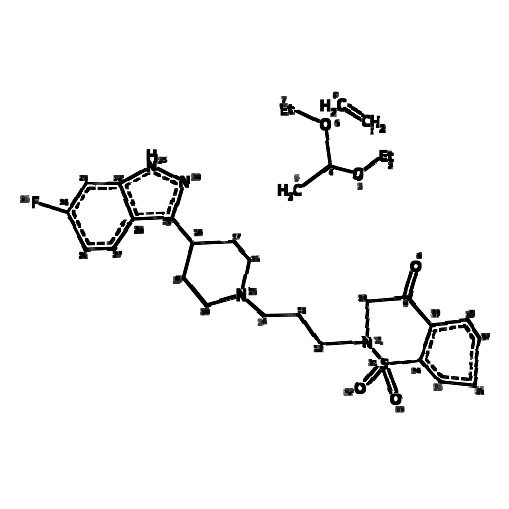 C=C.CCOC(C)OCC.O=C1CN(CCCN2CCC(c3n[nH]c4cc(F)ccc34)CC2)S(=O)(=O)c2ccccc21